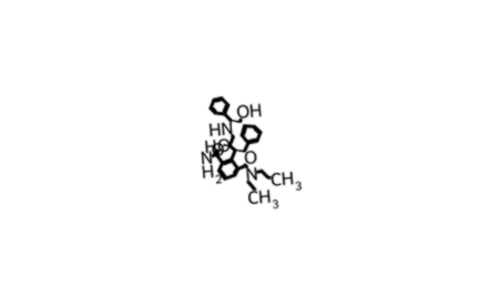 CCCN(CCC)C(=O)c1cccc(C(N)=O)c1[C@H](Cc1ccccc1)[C@@H](O)CN[C@H](CO)c1ccccc1